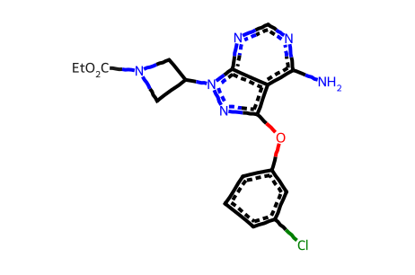 CCOC(=O)N1CC(n2nc(Oc3cccc(Cl)c3)c3c(N)ncnc32)C1